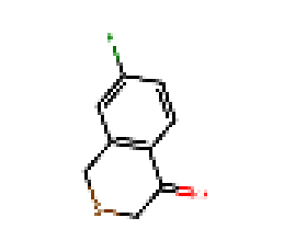 O=C1CSCc2cc(F)ccc21